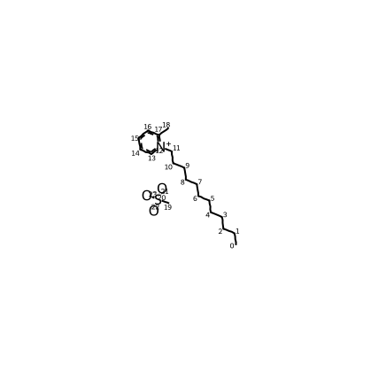 CCCCCCCCCCCC[n+]1ccccc1C.CS(=O)(=O)[O-]